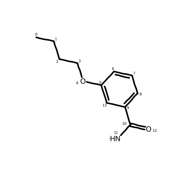 CCCCOc1cccc(C([NH])=O)c1